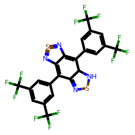 FC(F)(F)c1cc(C2=C3N=S=NC3=C(c3cc(C(F)(F)F)cc(C(F)(F)F)c3)C3NSN=C23)cc(C(F)(F)F)c1